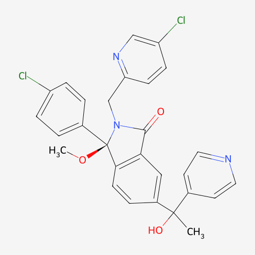 CO[C@]1(c2ccc(Cl)cc2)c2ccc(C(C)(O)c3ccncc3)cc2C(=O)N1Cc1ccc(Cl)cn1